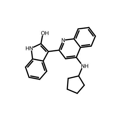 Oc1[nH]c2ccccc2c1-c1cc(NC2CCCC2)c2ccccc2n1